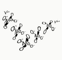 [O]=[Mo](=[O])([O-])[O-].[O]=[Mo](=[O])([O-])[O-].[O]=[Mo](=[O])([O-])[O-].[O]=[Mo](=[O])([O-])[O-].[O]=[Mo](=[O])([O-])[O-].[V+5].[V+5]